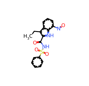 CCc1c(C(=O)NS(=O)(=O)c2ccccc2)[nH]c2c(N=O)cccc12